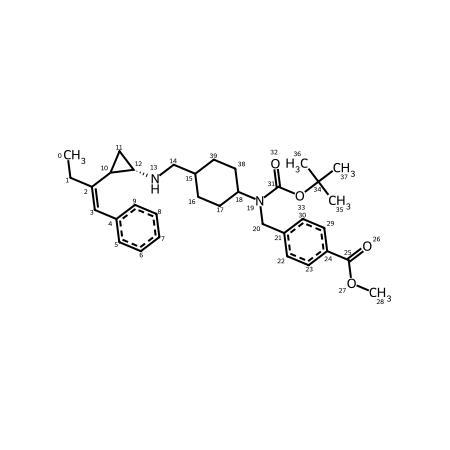 CCC(=Cc1ccccc1)C1C[C@@H]1NCC1CCC(N(Cc2ccc(C(=O)OC)cc2)C(=O)OC(C)(C)C)CC1